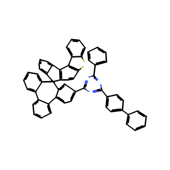 c1ccc(-c2ccc(-c3nc(-c4ccccc4)nc(-c4ccc5c(c4)C4(c6ccccc6-c6ccccc6-5)c5ccccc5-c5c4ccc4sc6ccccc6c54)n3)cc2)cc1